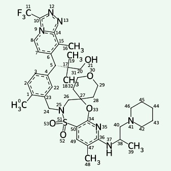 Cc1ccc([C@H](c2ccn3c(C(F)(F)F)nnc3c2C)C(C)(C)CO)cc1CN1CC2(CCOCC2)Oc2nc(NC(C)CN3CCCCC3)c(C)cc2S1(=O)=O